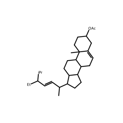 CCC(C=CC(C)C1CCC2C1CCC1C2CC=C2CC(OC(C)=O)CCC21C)C(C)C